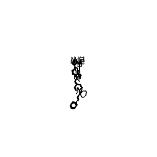 O=C(CCc1ccccc1)N1CCC(Cn2ccc3nc(-c4cn[nH]c4C(F)(F)F)ccc32)CC1